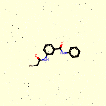 CC(=O)CC(=O)Nc1cccc(C(=O)Nc2ccccc2)c1